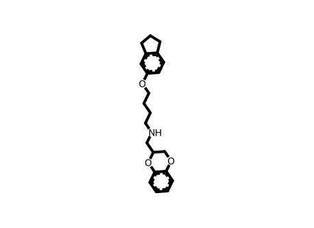 c1ccc2c(c1)OCC(CNCCCCOc1ccc3c(c1)CCC3)O2